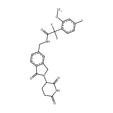 O=C1CCC(N2Cc3cc(CNC(=O)C(F)(F)c4ccc(F)cc4OC(F)(F)F)ccc3C2=O)C(=O)N1